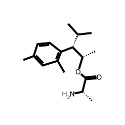 Cc1ccc([C@H](C(C)C)[C@H](C)OC(=O)[C@H](C)N)c(C)c1